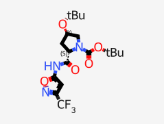 CC(C)(C)OC(=O)N1C[C@H](OC(C)(C)C)C[C@H]1C(=O)Nc1cc(C(F)(F)F)no1